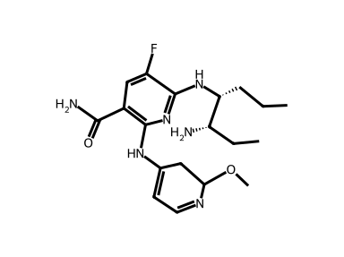 CCC[C@@H](Nc1nc(NC2=CC=NC(OC)C2)c(C(N)=O)cc1F)[C@@H](N)CC